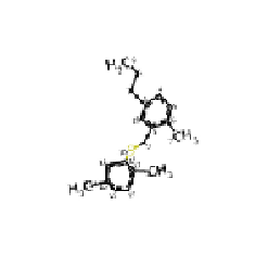 CCCc1ccc(C)c(CSc2cc(C)ccc2C)c1